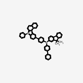 CC1(C)c2ccccc2-c2ccc(N(c3ccc(-c4ccccc4)cc3)c3ccc(-c4ccc5c(c4)c4c6ccccc6ccc4n5-c4ccccc4)cc3)cc21